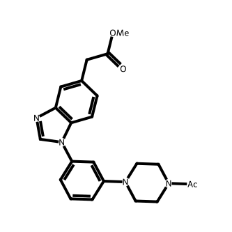 COC(=O)Cc1ccc2c(c1)ncn2-c1cccc(N2CCN(C(C)=O)CC2)c1